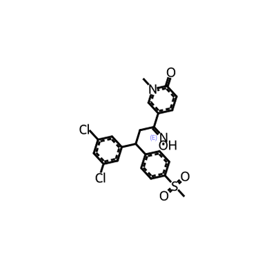 Cn1cc(/C(CC(c2ccc(S(C)(=O)=O)cc2)c2cc(Cl)cc(Cl)c2)=N/O)ccc1=O